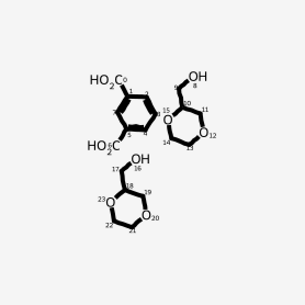 O=C(O)c1cccc(C(=O)O)c1.OCC1COCCO1.OCC1COCCO1